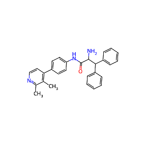 Cc1nccc(-c2ccc(NC(=O)C(N)C(c3ccccc3)c3ccccc3)cc2)c1C